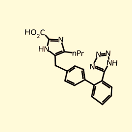 CCCc1nc(C(=O)O)[nH]c1Cc1ccc(-c2ccccc2-c2nnn[nH]2)cc1